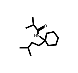 CC(C)CCC1(NC(=O)C(C)C)CCCCC1